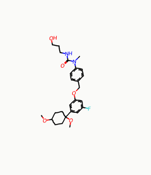 COC1CCC(OC)(c2cc(F)cc(OCc3ccc(N(C)C(=O)NCCCO)cc3)c2)CC1